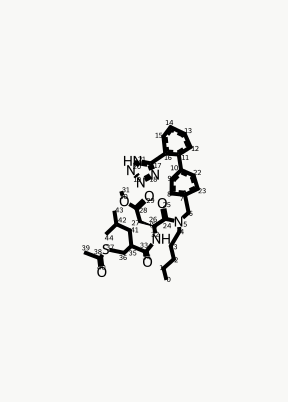 CCCCCN(Cc1ccc(-c2ccccc2-c2nnn[nH]2)cc1)C(=O)[C@H](CC(=O)OC)NC(=O)C(CSC(C)=O)CC(C)C